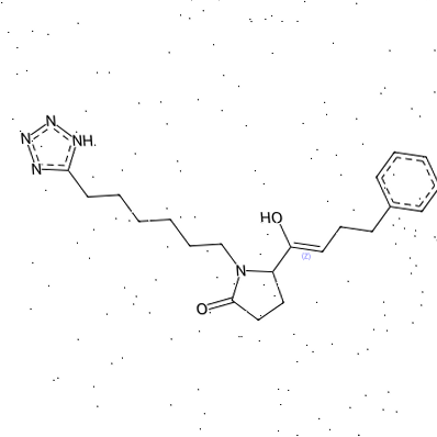 O=C1CCC(/C(O)=C/CCc2ccccc2)N1CCCCCCc1nnn[nH]1